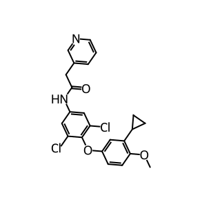 COc1ccc(Oc2c(Cl)cc(NC(=O)Cc3cccnc3)cc2Cl)cc1C1CC1